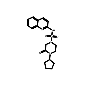 O=C1CN(S(=O)(=O)Nc2ccc3ccccc3n2)CCN1C1CCCC1